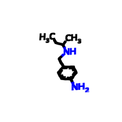 CCC(C)NCc1ccc(N)cc1